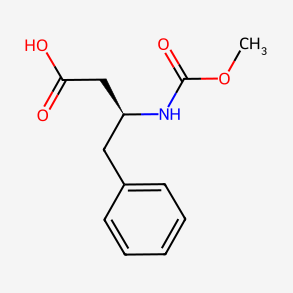 COC(=O)N[C@H](CC(=O)O)Cc1ccccc1